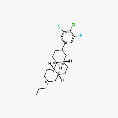 CCC[C@@H]1CC[C@H]2[C@H](CC[C@H]3CC(c4cc(F)c(Cl)c(F)c4)CC[C@@H]32)C1